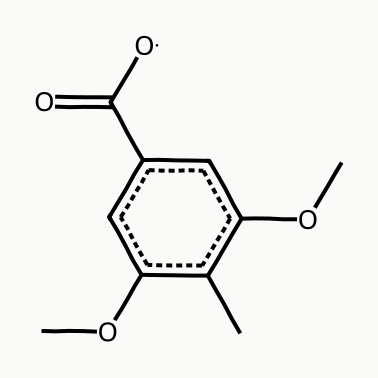 COc1cc(C([O])=O)cc(OC)c1C